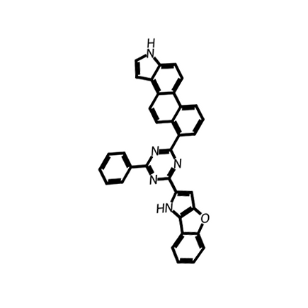 c1ccc(-c2nc(-c3cc4oc5ccccc5c4[nH]3)nc(-c3cccc4c3ccc3c5cc[nH]c5ccc43)n2)cc1